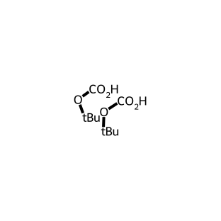 CC(C)(C)OC(=O)O.CC(C)(C)OC(=O)O